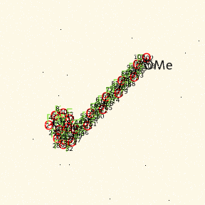 COC(=O)C(F)(F)OC(F)(F)OC(F)(F)OC(F)(F)OC(F)(F)OC(F)(F)OC(F)(F)OC(F)(F)OC(F)(F)C(F)(F)OC(F)(F)C(F)(F)OC(F)(F)C(F)(F)OC(F)(F)C(F)(F)OC(F)(F)C(F)(F)OC(F)(F)C(F)(F)OC(F)(F)C(F)(F)OC(F)(F)C(F)(F)OC(F)(F)C(F)(F)OC(F)(F)C(=O)OC